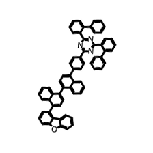 c1ccc(-c2ccccc2-c2nc(-c3ccc(-c4ccc(-c5ccc(-c6cccc7oc8ccccc8c67)c6ccccc56)c5ccccc45)cc3)nc(-c3ccccc3-c3ccccc3)n2)cc1